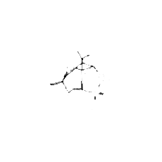 CC1C2OS(=O)(=O)C3CC1(C)OC23CO